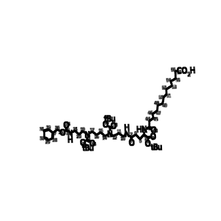 CC(C)(C)OC(=O)C(CCC(=O)NCCCN(CCCCN(CCCNC(=O)OCc1ccccc1)C(=O)OC(C)(C)C)C(=O)OC(C)(C)C)NC(=O)CCCCCCCCCCCCCC(=O)O